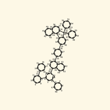 c1ccc(-c2cc(-c3ccccc3-c3ccccc3)nc(-c3ccc(-c4ccc(-c5ccc6c(c5)-c5c(ccc7ccccc57)C6(c5ccccc5)c5ccccc5)cc4)c4ccccc34)n2)cc1